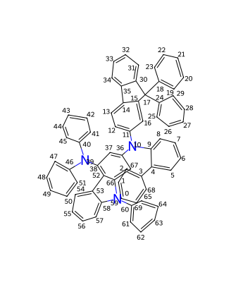 c1ccc(-c2ccccc2N(c2ccc3c(c2)C(c2ccccc2)(c2ccccc2)c2ccccc2-3)c2cc(N(c3ccccc3)c3ccccc3)c3c4ccccc4n(-c4ccccc4)c3c2)cc1